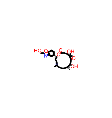 C/C1=C\C[C@@H](c2ccc3oc(CO)nc3c2)OC(=O)C[C@H](O)C(C)(C)C(=O)C[C@H](O)[C@@H](C)CCC1